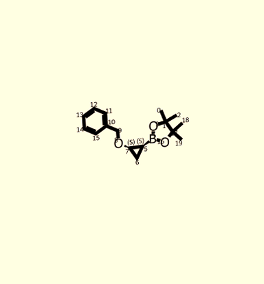 CC1(C)OB([C@H]2C[C@@H]2OCc2ccccc2)OC1(C)C